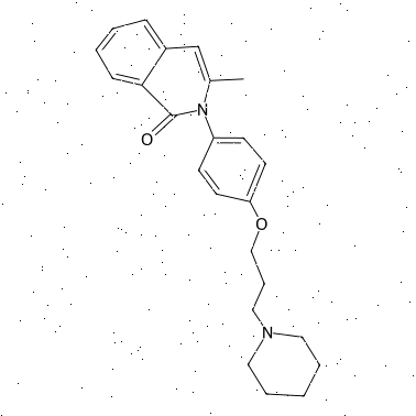 Cc1cc2ccccc2c(=O)n1-c1ccc(OCCCN2CCCCC2)cc1